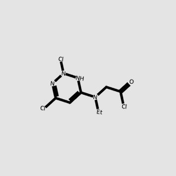 CCN(CC(=O)Cl)C1=CC(Cl)=NN(Cl)N1